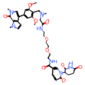 COc1cc(-c2cn(C)c(=O)c3c2ccn3C)cc(OC)c1CN(C)CC(=O)NCCOCCOCCNC(=O)c1ccc(=O)n(C2CCC(=O)NC2=O)c1